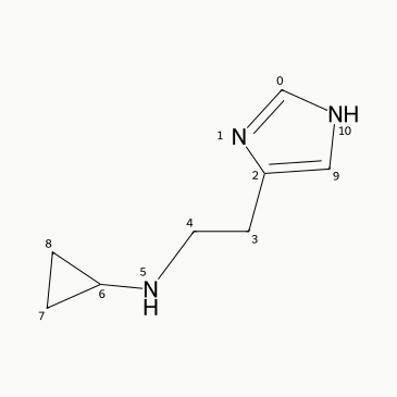 c1nc(CCNC2CC2)c[nH]1